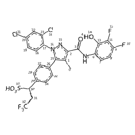 Cc1c(C(=O)Nc2ccc(F)c(F)c2O)nn(-c2ccc(Cl)cc2Cl)c1-c1ccc(C(CC(F)(F)F)S(=O)(=O)O)cc1